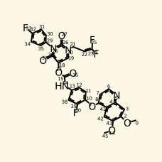 COc1cc2nccc(Oc3ccc(NC(=O)Oc4cn(CC=C(F)F)c(=O)n(-c5ccc(F)cc5)c4=O)cc3F)c2cc1OC